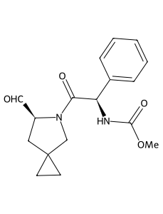 COC(=O)N[C@@H](C(=O)N1CC2(CC2)C[C@H]1C=O)c1ccccc1